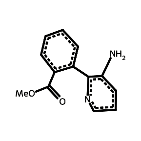 COC(=O)c1ccccc1-c1ncccc1N